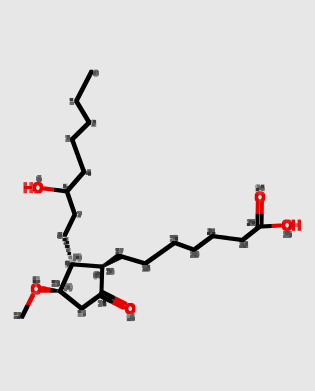 CCCCCC(O)CC[C@H]1[C@H](OC)CC(=O)[C@@H]1CCCCCCC(=O)O